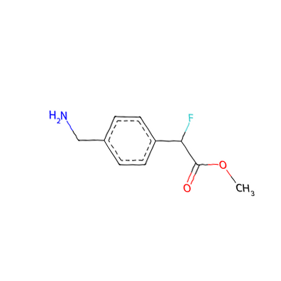 COC(=O)C(F)c1ccc(CN)cc1